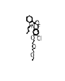 CCC=C1C2=C(CCCC2)C(=O)N1c1cc(OCCOCCOCC)c(Cl)cc1F